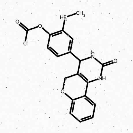 CBc1cc(C2NC(=O)NC3=C2COc2ccccc23)ccc1OC(=O)Cl